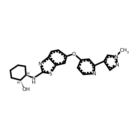 Cn1cc(-c2cc(Oc3ccc4nc(N[C@@H]5CCCC[C@H]5O)sc4c3)ccn2)cn1